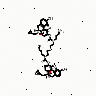 NCCCN(CCOCCN(CCCN)C(=O)OC1=CC[C@@]2(O)[C@H]3Cc4ccc(O)c5c4[C@@]2(CCN3CC2CC2)[C@H]1O5)C(=O)OC1=CC[C@@]2(O)[C@H]3Cc4ccc(O)c5c4[C@@]2(CCN3CC2CC2)[C@H]1O5